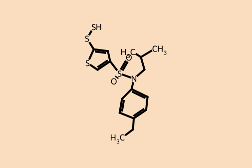 CCc1ccc(N(CC(C)C)S(=O)(=O)c2csc(SS)c2)cc1